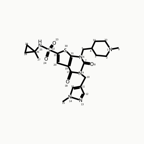 CN1CCC(Cn2c(=O)n(Cc3cnn(C)c3)c(=O)c3cc(S(=O)(=O)NC4(C)CC4)sc32)CC1